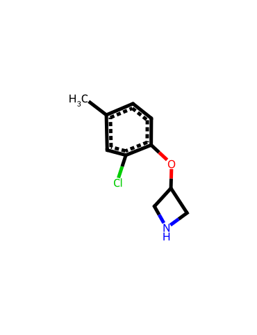 Cc1ccc(OC2CNC2)c(Cl)c1